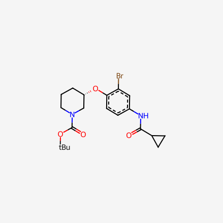 CC(C)(C)OC(=O)N1CCC[C@H](Oc2ccc(NC(=O)C3CC3)cc2Br)C1